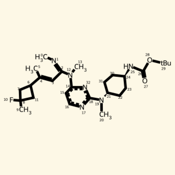 C/N=C(\C=C(/C)C1CC(C)(F)C1)N(C)c1ccnc(N(C)[C@H]2CC[C@H](NC(=O)OC(C)(C)C)CC2)n1